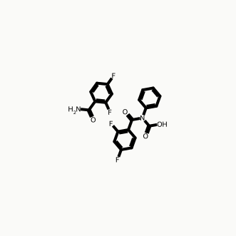 NC(=O)c1ccc(F)cc1F.O=C(O)N(C(=O)c1ccc(F)cc1F)c1ccccc1